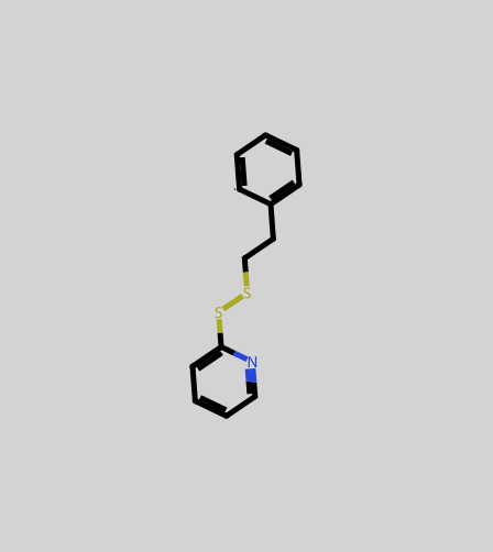 [c]1ccccc1CCSSc1ccccn1